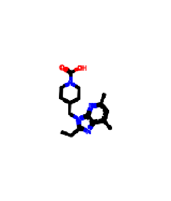 CCc1nc2c(C)cc(C)nc2n1CC1CCN(C(=O)O)CC1